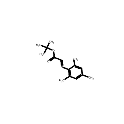 Cc1cc(C)c(N=CC(=O)OC(C)(C)C)c(C)c1